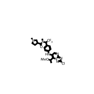 COC(C)c1c(Nc2ccc(C(N(C)C(=O)C3CCN(C)C3)C(F)(F)F)cc2)cnc2nc(Cl)nn12